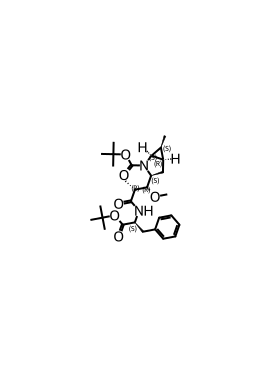 CO[C@H]([C@@H](C)C(=O)N[C@@H](Cc1ccccc1)C(=O)OC(C)(C)C)[C@@H]1C[C@@H]2[C@H](C)[C@@H]2N1C(=O)OC(C)(C)C